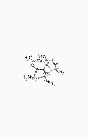 CC(O)Oc1ccc(N)cc1N.Cc1cc(O)ccc1N